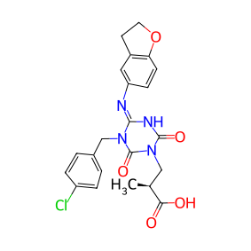 C[C@@H](Cn1c(=O)[nH]/c(=N\c2ccc3c(c2)CCO3)n(Cc2ccc(Cl)cc2)c1=O)C(=O)O